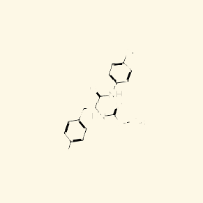 CC(C)(C)OC(=O)N[C@@H](Cc1ccc(O)cc1)C(=O)Nc1ccc(O)cc1